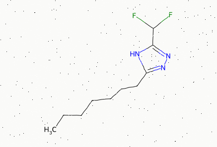 CCCCCCCc1nnc(C(F)F)[nH]1